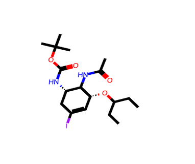 CCC(CC)O[C@@H]1C=C(I)C[C@H](NC(=O)OC(C)(C)C)C1NC(C)=O